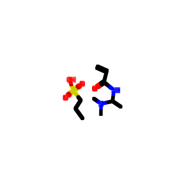 C=CC(=O)NC(C)N(C)C.CCCS(=O)(=O)O